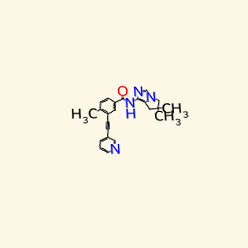 Cc1ccc(C(=O)Nc2ncn3c2CC(C)(C)C3)cc1C#Cc1cccnc1